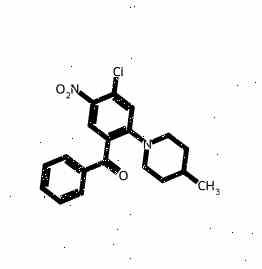 CC1CCN(c2cc(Cl)c([N+](=O)[O-])cc2C(=O)c2ccccc2)CC1